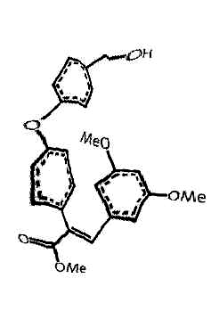 COC(=O)/C(=C/c1cc(OC)cc(OC)c1)c1ccc(Oc2ccc(CO)cc2)cc1